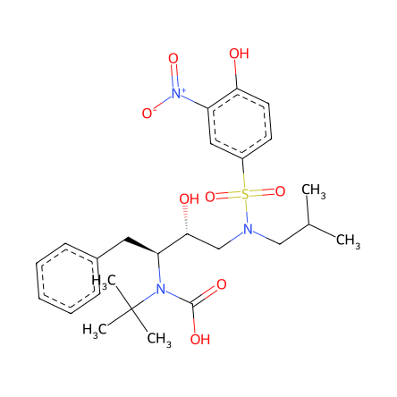 CC(C)CN(C[C@@H](O)[C@H](Cc1ccccc1)N(C(=O)O)C(C)(C)C)S(=O)(=O)c1ccc(O)c([N+](=O)[O-])c1